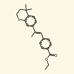 CCOC(=O)c1ccc(C=C(C)c2ccc3c(c2)SCCC3(C)C)cc1